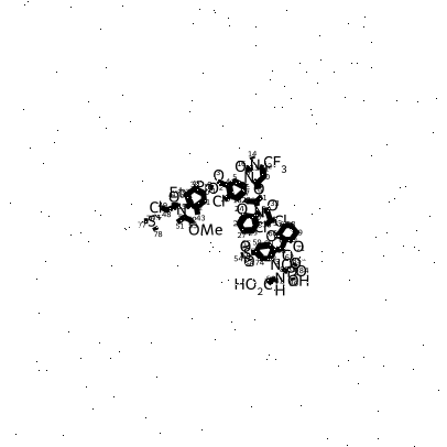 CC(C)OC(=O)c1cc(-n2c(=O)cc(C(F)(F)F)n(C)c2=O)ccc1Cl.CC1COc2ccccc2N1C(=O)C(Cl)Cl.CCc1cccc(C)c1N(C(=O)CCl)C(C)COC.CS(=O)(=O)c1ccc(C(=O)C2C(=O)CCCC2=O)c([N+](=O)[O-])c1.C[S+](C)C.O=C(O)CNCP(=O)([O-])O